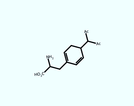 CC(=O)C(C(C)=O)C1C=CC(CC(N)C(=O)O)=CC1